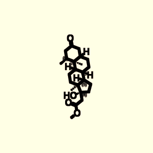 COC(=O)C[C@]1(O)CC[C@H]2[C@@H]3CC[C@H]4CC(=O)C[C@H](C)[C@]4(C)[C@H]3CC[C@@]21C